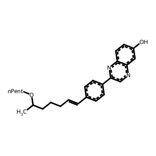 CCCCCOC(C)CCCC=Cc1ccc(-c2cnc3cc(O)ccc3n2)cc1